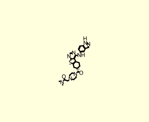 CN(C)C(=O)CN1CCN(C(=O)[C@H]2CCc3c(sc4ncnc(Nc5ccc6[nH]ncc6c5)c34)C2)CC1